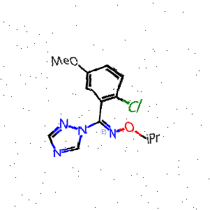 COc1ccc(Cl)c(/C(=N\OC(C)C)n2cncn2)c1